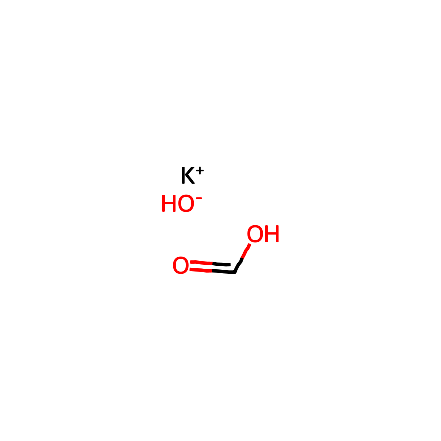 O=CO.[K+].[OH-]